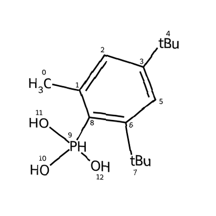 Cc1cc(C(C)(C)C)cc(C(C)(C)C)c1[PH](O)(O)O